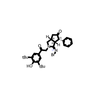 CC(C)(C)c1cc(C(=O)CN2C[C@@H]3CC(=O)[C@H](c4ccccc4)[C@@H]3/C2=N/Br)cc(C(C)(C)C)c1O